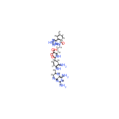 Cc1ccc(C(=O)NCCC[C@H](NC(=O)c2ccc(NCc3cnc4nc(N)nc(N)c4n3)c(N)c2)C(=O)O)c(-c2nn[nH]n2)c1